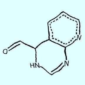 O=CC1NC=Nc2ncccc21